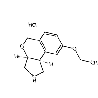 CCOc1ccc2c(c1)[C@H]1CNC[C@H]1OC2.Cl